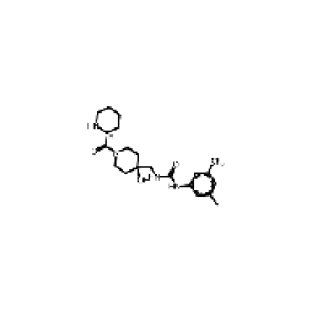 Cc1cc(NC(=O)NCC2(O)CCN(C(=O)[C@@H]3CCCCN3)CC2)cc(C(F)(F)F)c1